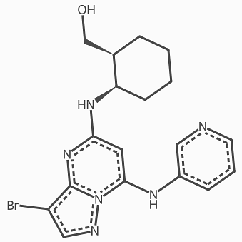 OC[C@H]1CCCC[C@H]1Nc1cc(Nc2cccnc2)n2ncc(Br)c2n1